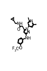 Cc1cc(-n2nc(Nc3cccc(OC(F)(F)F)c3)cc2CC(=O)NCC2CC2)cc(C)n1